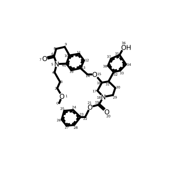 COCCCN1C(=O)CCc2ccc(COC3CN(C(=O)OCc4ccccc4)CCC3c3ccc(O)cc3)cc21